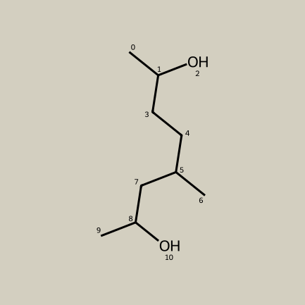 CC(O)CCC(C)CC(C)O